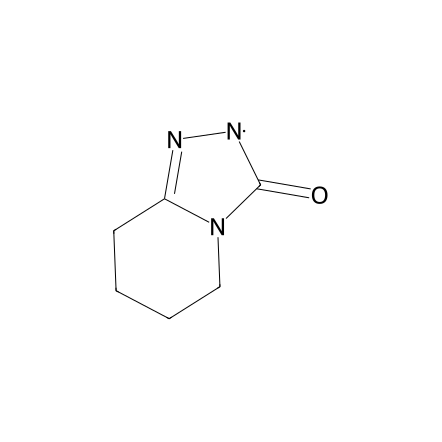 O=C1[N]N=C2CCCCN12